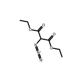 CCOC(=O)C(N=[N+]=[N-])C(=O)OCC